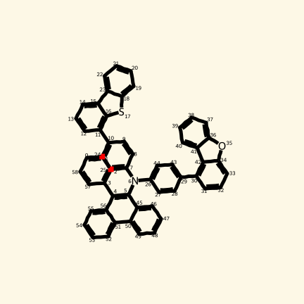 c1ccc(-c2c(N(c3ccc(-c4cccc5c4sc4ccccc45)cc3)c3ccc(-c4cccc5oc6ccccc6c45)cc3)c3ccccc3c3ccccc23)cc1